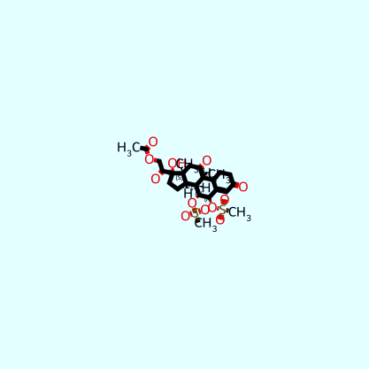 CC(=O)OCC(=O)[C@@]1(O)CC[C@H]2[C@@H]3[C@H](OS(C)(=O)=O)[C@H](OS(C)(=O)=O)C4=CC(=O)CC[C@]4(C)[C@H]3C(=O)C[C@@]21C